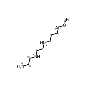 CC(C)O[SiH2]CCCNCCNCCN